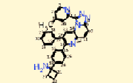 Cc1ccnc(-c2nnc3ccc4nc(-c5ccc(C6(N)CCC6)cc5)c(-c5ccccc5)cc4n23)c1